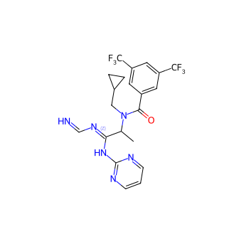 CC(/C(=N/C=N)Nc1ncccn1)N(CC1CC1)C(=O)c1cc(C(F)(F)F)cc(C(F)(F)F)c1